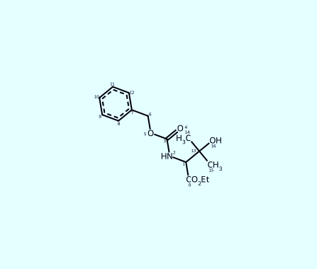 CCOC(=O)C(NC(=O)OCc1ccccc1)C(C)(C)O